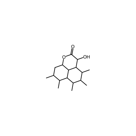 CC1CC2OC(=O)C(O)C3C(C)C(C)C(C)C(C1C)C23